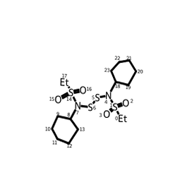 CCS(=O)(=O)N(SSN(C1CCCCC1)S(=O)(=O)CC)C1CCCCC1